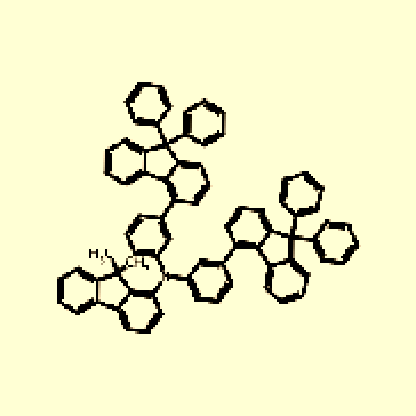 CC1(C)c2ccccc2-c2cccc(N(c3cccc(-c4cccc5c4-c4ccccc4C5(c4ccccc4)c4ccccc4)c3)c3cccc(-c4cccc5c4-c4ccccc4C5(c4ccccc4)c4ccccc4)c3)c21